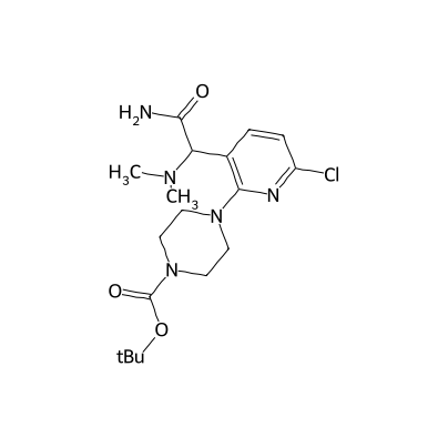 CN(C)C(C(N)=O)c1ccc(Cl)nc1N1CCN(C(=O)OC(C)(C)C)CC1